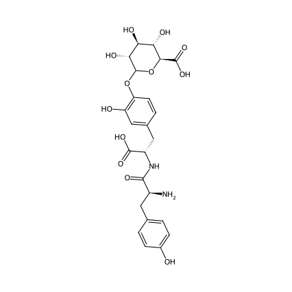 N[C@@H](Cc1ccc(O)cc1)C(=O)N[C@@H](Cc1ccc(OC2O[C@H](C(=O)O)[C@@H](O)[C@H](O)[C@H]2O)c(O)c1)C(=O)O